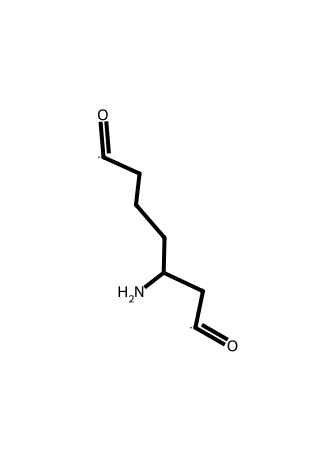 NC(C[C]=O)CCC[C]=O